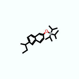 CCC(C)c1ccc2cc(O[Si](C(C)C)(C(C)C)C(C)C)ccc2c1